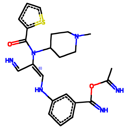 CC(=N)OC(=N)c1cccc(N/C=C(\C=N)N(C(=O)c2cccs2)C2CCN(C)CC2)c1